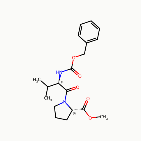 COC(=O)[C@@H]1CCCN1C(=O)[C@H](NC(=O)OCc1ccccc1)C(C)C